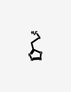 [CH2]SCc1nnno1